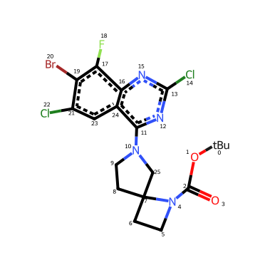 CC(C)(C)OC(=O)N1CCC12CCN(c1nc(Cl)nc3c(F)c(Br)c(Cl)cc13)C2